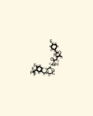 Cc1oc(-c2ccc(F)cc2)nc1CC(=O)NC[C@H]1CN(Cc2ccc(F)c(C(F)(F)F)c2)CCO1